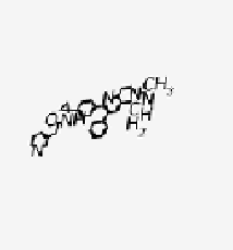 C=C1c2cc(-c3ccccc3)c(-c3ccc(C4(NC(=O)Cc5cccnc5)CC4)cc3)nc2C=CN1C(C)=N